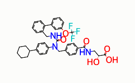 O=C(NC[C@@H](O)C(=O)O)c1ccc(CN(C(=O)NCc2ccccc2-c2cccc(OC(F)(F)F)c2)c2ccc(C3CCCCC3)cc2)cc1